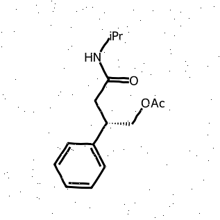 CC(=O)OC[C@@H](CC(=O)NC(C)C)c1ccccc1